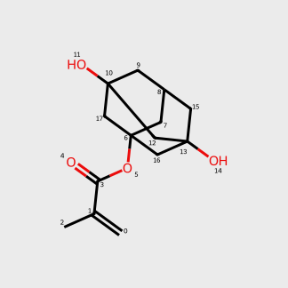 C=C(C)C(=O)OC12CC3CC(O)(CC(O)(C3)C1)C2